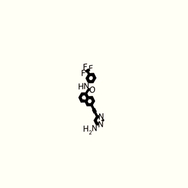 Nc1cc(C#Cc2ccc3c(C(=O)Nc4cccc(C(F)(F)F)c4)cccc3c2)ncn1